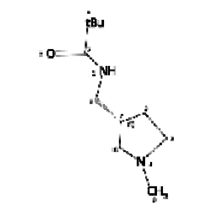 CN1CC[C@@H](CNC(=O)C(C)(C)C)C1